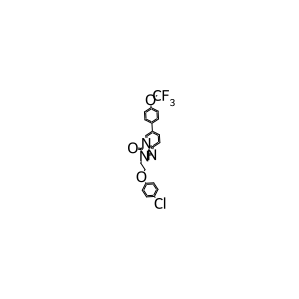 O=c1n(CCOc2ccc(Cl)cc2)nc2ccc(-c3ccc(OC(F)(F)F)cc3)cn12